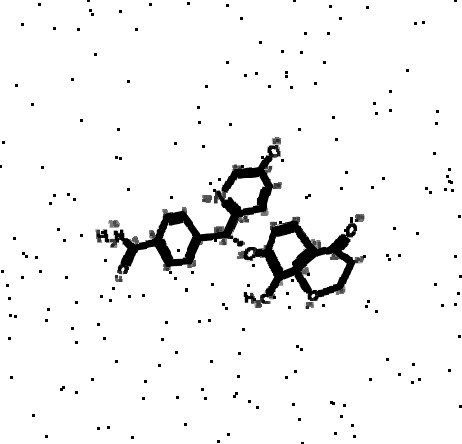 Cc1c(O[C@H](c2ccc(C(N)=O)cc2)c2ccc(Cl)cn2)ccc2c1OCCC2=O